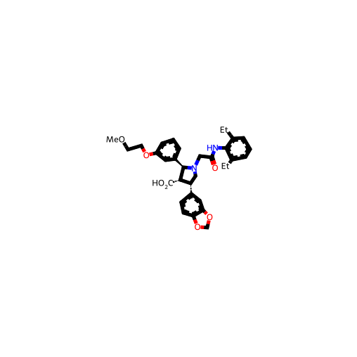 CCc1cccc(CC)c1NC(=O)CN1C[C@H](c2ccc3c(c2)OCO3)[C@H](C(=O)O)[C@H]1c1cccc(OCCOC)c1